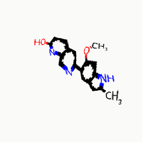 COc1cc2[nH]c(C)cc2cc1-c1cc2ccc(O)nc2cn1